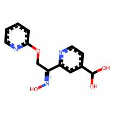 O/N=C(\COc1ccccn1)c1cc(C(O)O)ccn1